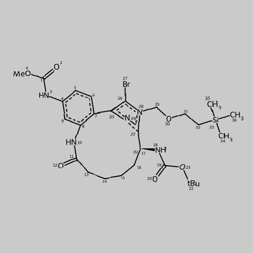 COC(=O)Nc1ccc2c(c1)NC(=O)CCCC[C@H](NC(=O)OC(C)(C)C)c1nc-2c(Br)n1COCC[Si](C)(C)C